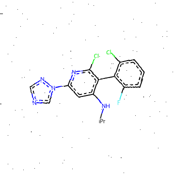 CC(C)Nc1cc(-n2cncn2)nc(Cl)c1-c1c(F)cccc1Cl